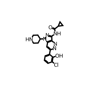 O=C(Nc1nn(C2CCNCC2)c2cc(-c3cccc(Cl)c3O)nnc12)C1CC1